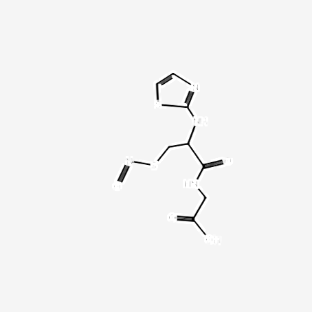 O=NSCC(Nc1nccs1)C(=O)NCC(=O)O